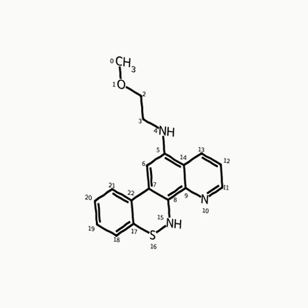 COCCNc1cc2c(c3ncccc13)NSc1ccccc1-2